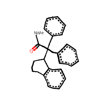 CNC(=O)C(c1ccccc1)(c1ccccc1)C1CCc2ccccc21